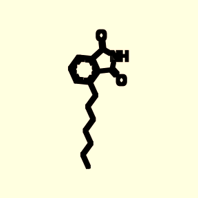 CCCCCCCc1cccc2c1C(=O)NC2=O